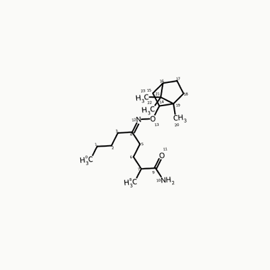 CCCCC(CCC(C)C(N)=O)=NOC1CC2CCC1(C)C2(C)C